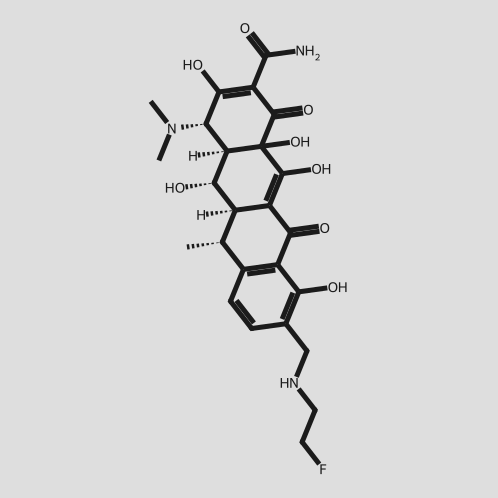 C[C@H]1c2ccc(CNCCF)c(O)c2C(=O)C2=C(O)C3(O)C(=O)C(C(N)=O)=C(O)[C@@H](N(C)C)[C@@H]3[C@@H](O)[C@@H]21